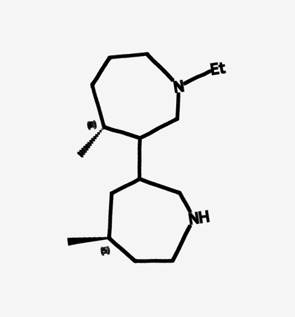 CCN1CCC[C@@H](C)C(C2CNCC[C@@H](C)C2)C1